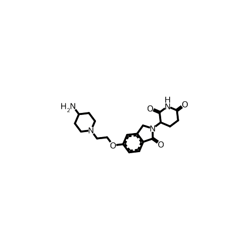 NC1CCN(CCOc2ccc3c(c2)CN(C2CCC(=O)NC2=O)C3=O)CC1